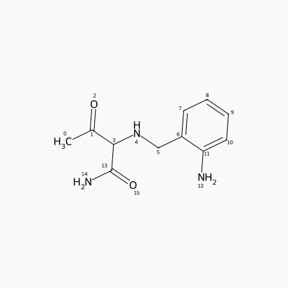 CC(=O)C(NCc1ccccc1N)C(N)=O